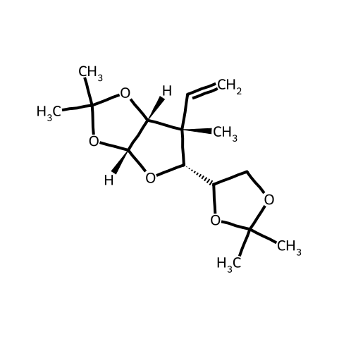 C=C[C@]1(C)[C@H](C2COC(C)(C)O2)O[C@@H]2OC(C)(C)O[C@@H]21